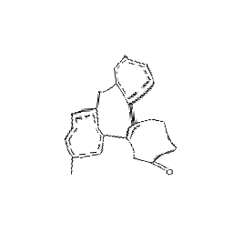 Cc1ccc2c(c1)C1=C(CCC(=O)C1)c1ccccc1C2